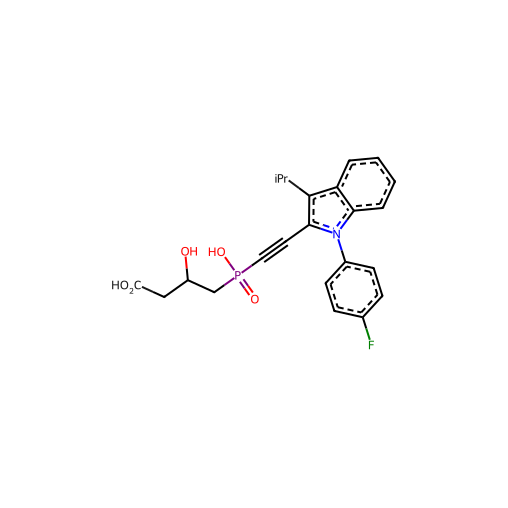 CC(C)c1c(C#CP(=O)(O)CC(O)CC(=O)O)n(-c2ccc(F)cc2)c2ccccc12